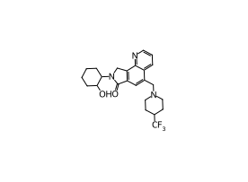 O=C1c2cc(CN3CCC(C(F)(F)F)CC3)c3cccnc3c2CN1C1CCCCC1O